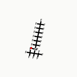 FC(F)(F)C(F)(F)C(F)(F)C(F)(F)C(F)(F)C(F)(F)[N+](F)(F)C(F)(C(F)(F)F)C(F)(F)F